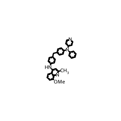 COc1cccc2c(Nc3ccc(Cc4ccc(N(c5ccccc5)c5ccncc5)cc4)cc3)cc(C)nc12